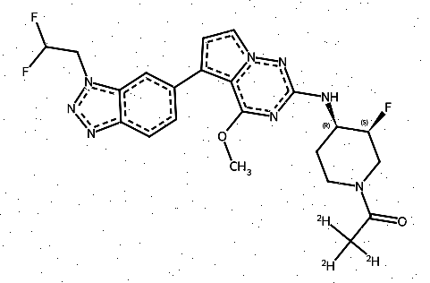 [2H]C([2H])([2H])C(=O)N1CC[C@@H](Nc2nc(OC)c3c(-c4ccc5nnn(CC(F)F)c5c4)ccn3n2)[C@@H](F)C1